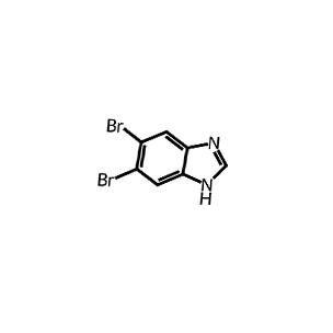 Brc1cc2nc[nH]c2cc1Br